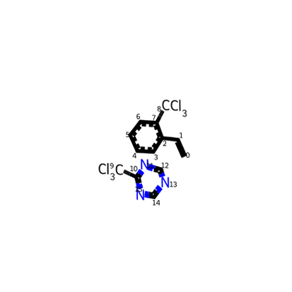 C=Cc1ccccc1C(Cl)(Cl)Cl.ClC(Cl)(Cl)c1ncncn1